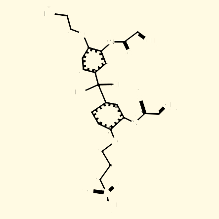 C=CC(=O)Nc1cc(C(C)(C)c2ccc(OCCCS(=O)(=O)O)c(NC(=O)C=C)c2)ccc1OCCC